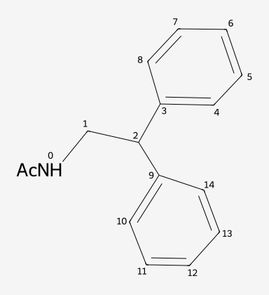 CC(=O)NCC(c1ccccc1)c1ccccc1